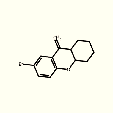 C=C1c2cc(Br)ccc2OC2CCCCC12